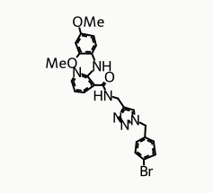 COc1ccc(Nc2ncccc2C(=O)NCc2cn(Cc3ccc(Br)cc3)nn2)c(OC)c1